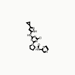 O=C(Nc1cnccn1)[C@@H]1CCCN1c1nc(Cl)nc(Nc2cc(C3CC3)n[nH]2)n1